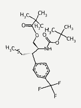 CSC[C@@H](c1ccc(C(F)(F)F)cc1)[C@@H](COC(=O)C(C)(C)C)NC(=O)OC(C)(C)C